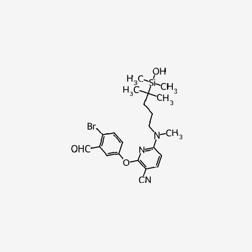 CN(CCCC(C)(C)[Si](C)(C)O)c1ccc(C#N)c(Oc2ccc(Br)c(C=O)c2)n1